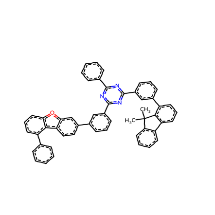 CC1(C)c2ccccc2-c2cccc(-c3cccc(-c4nc(-c5ccccc5)nc(-c5cccc(-c6ccc7c(c6)oc6cccc(-c8ccccc8)c67)c5)n4)c3)c21